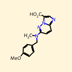 COc1ccc(CN(C)c2ccc3ncc(C(=O)O)n3n2)cc1